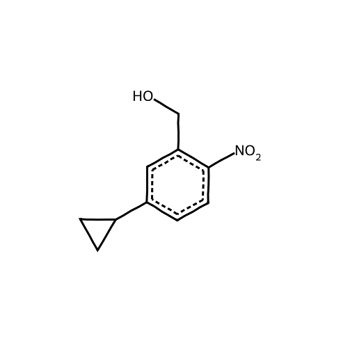 O=[N+]([O-])c1ccc(C2CC2)cc1CO